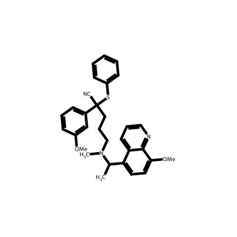 COc1cccc(C(C#N)(CCCN(C)C(C)c2ccc(OC)c3ncccc23)Sc2ccccc2)c1